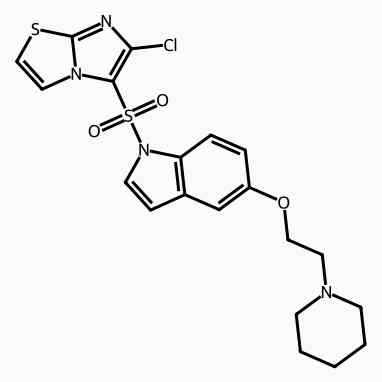 O=S(=O)(c1c(Cl)nc2sccn12)n1ccc2cc(OCCN3CCCCC3)ccc21